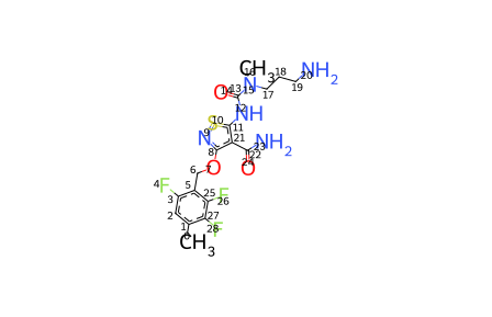 Cc1cc(F)c(COc2nsc(NC(=O)N(C)CCCN)c2C(N)=O)c(F)c1F